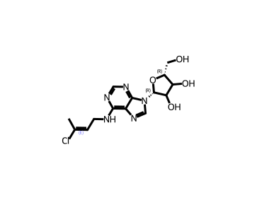 C/C(Cl)=C\CNc1ncnc2c1ncn2[C@@H]1O[C@H](CO)C(O)C1O